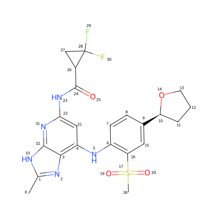 Cc1nc2c(Nc3ccc([C@@H]4CCCO4)cc3S(C)(=O)=O)cc(NC(=O)C3CC3(F)F)nc2[nH]1